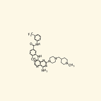 Cc1ccc(C(=O)Nc2cccc(C(F)(F)F)c2)cc1Nc1ncnc2c(N)nc(N3CCN(CC4CCN(C)CC4)CC3)nc12